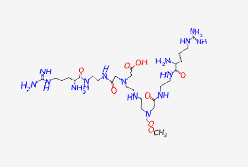 COOCN(CCNCCN(CC(=O)O)CC(=O)NCCNC(=O)C(N)CCCNC(=N)N)CC(=O)NCCNC(=O)C(N)CCCNC(=N)N